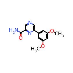 COc1cc(OC)cc(-c2cncc(C(N)=O)n2)c1